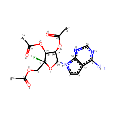 CC(C)C(=O)OC[C@@]1(F)O[C@@H](n2ccc3c(N)ncnc32)[C@H](OC(=O)C(C)C)[C@@H]1OC(=O)C(C)C